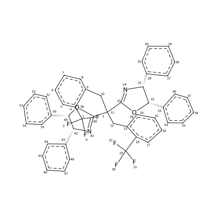 FC(F)(F)c1ccccc1CC(Cc1ccccc1C(F)(F)F)(C1=N[C@H](c2ccccc2)[C@H](c2ccccc2)O1)C1=N[C@H](c2ccccc2)[C@H](c2ccccc2)O1